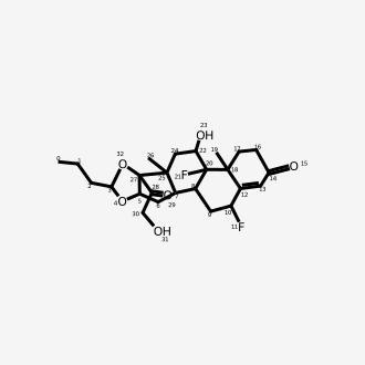 CCCC1OC2CC3C4CC(F)C5=CC(=O)CCC5(C)C4(F)C(O)CC3(C)C2(C(=O)CO)O1